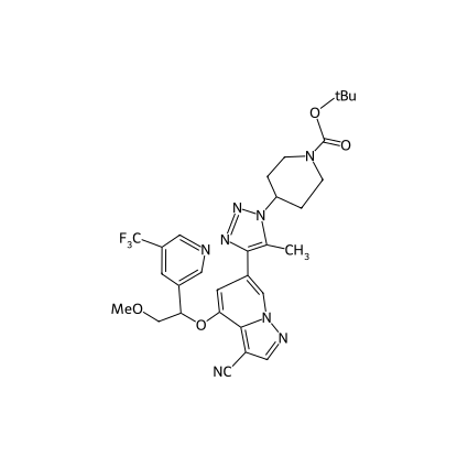 COCC(Oc1cc(-c2nnn(C3CCN(C(=O)OC(C)(C)C)CC3)c2C)cn2ncc(C#N)c12)c1cncc(C(F)(F)F)c1